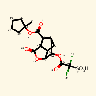 CC1(OC(=O)C2C3CC4C(OC(=O)C42)C3OC(=O)C(F)(F)S(=O)(=O)O)CCCC1